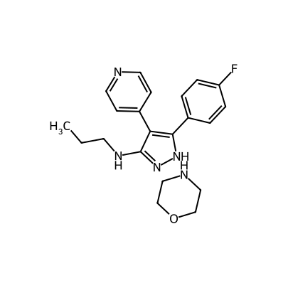 C1COCCN1.CCCNc1n[nH]c(-c2ccc(F)cc2)c1-c1ccncc1